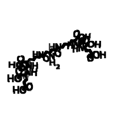 NC(CC(=O)NCCCCC(NC(=O)NC(CCC(=O)O)C(=O)O)C(=O)O)CC(=O)NCCCC[C@@H](NC(=O)N[C@@H](CCC(=O)O)C(=O)O)C(=O)O